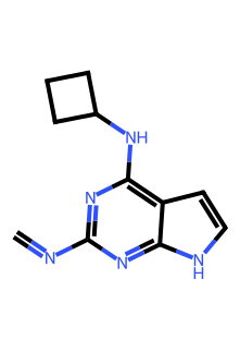 C=Nc1nc(NC2CCC2)c2cc[nH]c2n1